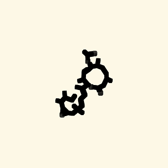 CCC(C)C(C)C1OC1CC(C)(C)/C=C/C=C(\C)C1OC(=O)CC(C)CCC(C)C(OC(C)=O)/C=C/C1C